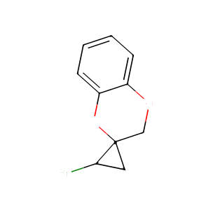 BrC1CC12COc1ccccc1O2